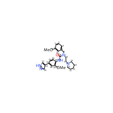 COc1cccc(CN(CCN2CCCCC2)C(=O)Nc2ccc(-c3cn[nH]c3)cc2OC)c1